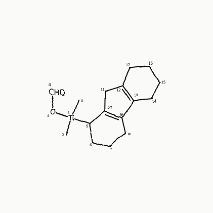 [CH3][Ti]([CH3])([O]C=O)[CH]1CCCC2=C1CC1=C2CCCC1